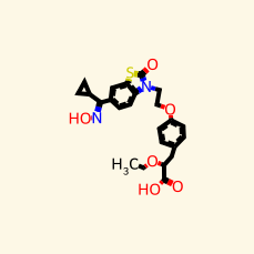 CCOC(Cc1ccc(OCCn2c(=O)sc3cc(C(=NO)C4CC4)ccc32)cc1)C(=O)O